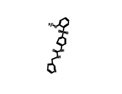 O=C(NCc1cccnc1)Nc1ccc(S(=O)(=O)c2ccccc2OC(F)(F)F)cc1